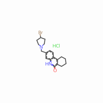 Cl.O=c1[nH]c2cc(CN3CCC(Br)CC3)ccc2c2c1CCCC2